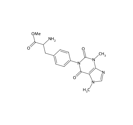 COC(=O)C(N)Cc1ccc(-n2c(=O)c3c(ncn3C)n(C)c2=O)cc1